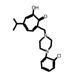 CC(C)c1ccc(CN2CCN(c3ccccc3Cl)CC2)c(=O)c(O)c1